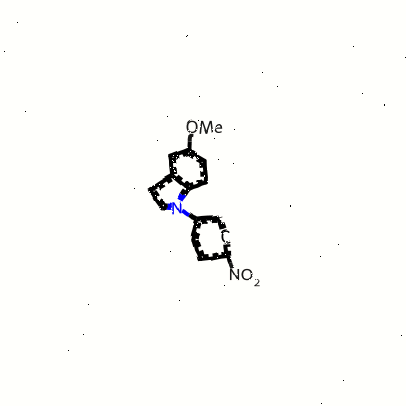 COc1ccc2c(ccn2-c2ccc([N+](=O)[O-])cc2)c1